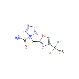 CC(F)(F)c1coc(C[N+]2(C(N)=O)N=[C]C=N2)n1